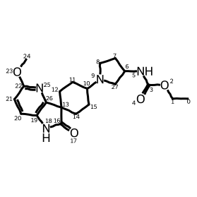 CCOC(=O)NC1CCN(C2CCC3(CC2)C(=O)Nc2ccc(OC)nc23)C1